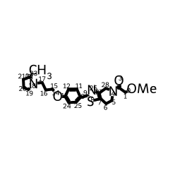 COCC(=O)N1CCc2sc(-c3ccc(OCCCN4CCC[C@H]4C)cc3)nc2C1